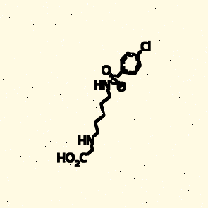 O=C(O)CNCCCCCNS(=O)(=O)c1ccc(Cl)cc1